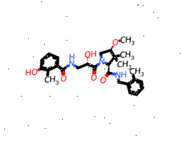 CO[C@@H]1CN(C(=O)[C@@H](O)CNC(=O)c2cccc(O)c2C)[C@H](C(=O)NCc2ccccc2C)C1(C)C